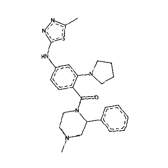 Cc1nnc(Nc2ccc(C(=O)N3CCN(C)CC3c3ccccc3)c(N3CCCC3)c2)s1